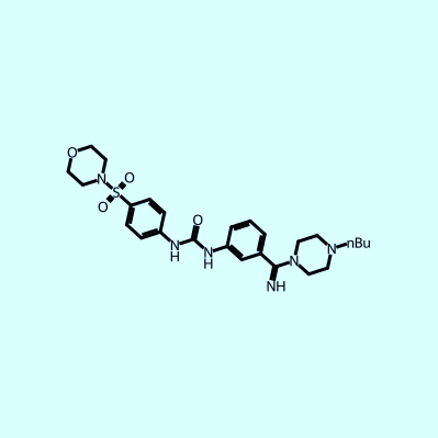 CCCCN1CCN(C(=N)c2cccc(NC(=O)Nc3ccc(S(=O)(=O)N4CCOCC4)cc3)c2)CC1